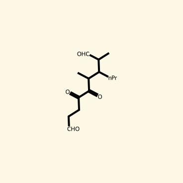 CCCC(C(C)C=O)C(C)C(=O)C(=O)CCC=O